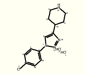 Cl.Cl.Clc1ccc(-n2cc(C3CCNCC3)nn2)cc1